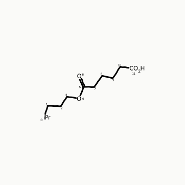 CC(C)CCCOC(=O)CCCCC(=O)O